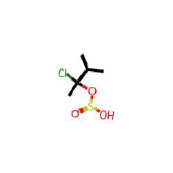 CC(C)C(C)(Cl)OS(=O)O